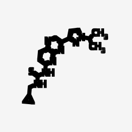 CC(C)n1ccc(-c2cnc3ccc(NC(=S)NCC4CC4)nc3n2)n1